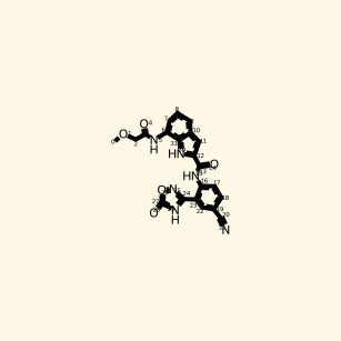 COCC(=O)Nc1cccc2cc(C(=O)Nc3ccc(C#N)cc3-c3noc(=O)[nH]3)[nH]c12